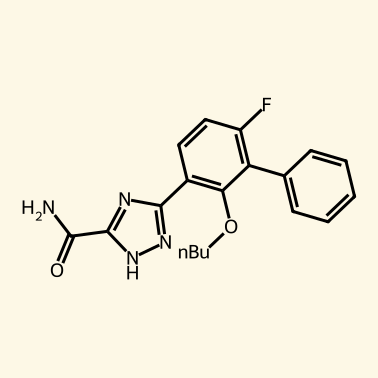 CCCCOc1c(-c2n[nH]c(C(N)=O)n2)ccc(F)c1-c1ccccc1